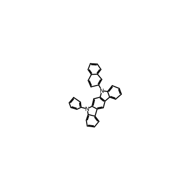 c1ccc(-n2c3ccccc3c3cc4c5ccccc5n(-c5ccc6ccccc6c5)c4cc32)cc1